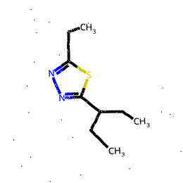 CCc1nnc(C(CC)CC)s1